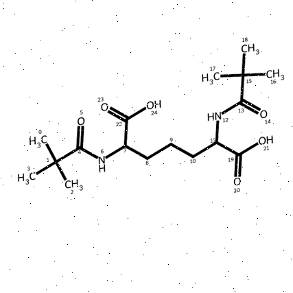 CC(C)(C)C(=O)NC(CCCC(NC(=O)C(C)(C)C)C(=O)O)C(=O)O